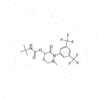 CN1CSC(OC(=O)NC(C)(C)C)C(=O)N1c1cc(C(F)(F)F)cc(C(F)(F)F)c1